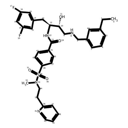 CCc1cccc(CNC[C@@H](O)[C@H](Cc2cc(F)cc(F)c2)NC(=O)c2ccc(S(=O)(=O)N(C)CCc3ccccn3)cc2)c1